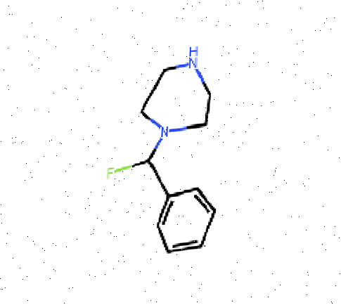 FC(c1cc[c]cc1)N1CCNCC1